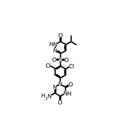 CC(C)c1cc(S(=O)(=O)c2c(Cl)cc(-n3nc(N)c(=O)[nH]c3=O)cc2Cl)n[nH]c1=O